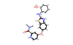 CN(C)C(=O)c1cc(Oc2ccc3nc(N[C@@H]4CCCC[C@H]4O)sc3c2)ccn1